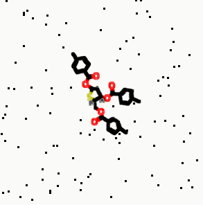 Cc1ccc(C(=O)OC[C@H]2SC(OC(=O)c3ccc(C)cc3)[CH][C@H]2OC(=O)c2ccc(C)cc2)cc1